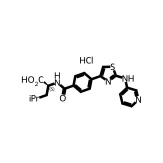 CC(C)C[C@H](NC(=O)c1ccc(-c2csc(Nc3cccnc3)n2)cc1)C(=O)O.Cl